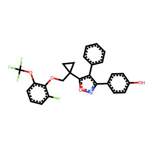 Oc1ccc(-c2noc(C3(COc4c(F)cccc4OC(F)(F)F)CC3)c2-c2ccccc2)cc1